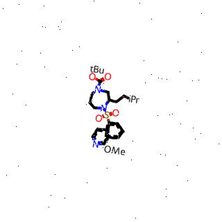 COc1nccc2c(S(=O)(=O)N3CCCN(C(=O)OC(C)(C)C)CC3CCC(C)C)cccc12